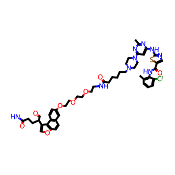 CNC(=O)CCC(C=O)c1coc2ccc3cc(OCCOCCOCCNC(=O)CCCCCN4CCN(c5cc(Nc6ncc(C(=O)Nc7c(C)cccc7Cl)s6)nc(C)n5)CC4)ccc3c12